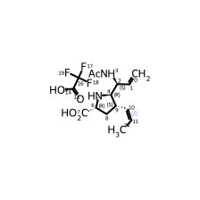 C=C[C@H](NC(C)=O)[C@@H]1N[C@@H](C(=O)O)C[C@H]1/C=C\C.O=C(O)C(F)(F)F